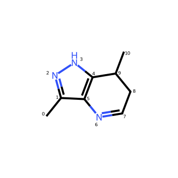 Cc1n[nH]c2c1N=CCC2C